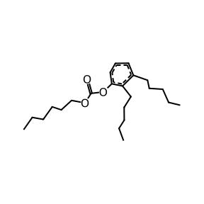 CCCCCCOC(=O)Oc1cccc(CCCCC)c1CCCCC